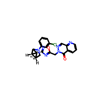 O=c1c2cccnc2cnn1Cc1nc([C@@]23C4[C@H]2[C@H]3CN4c2cccc(Cl)c2)no1